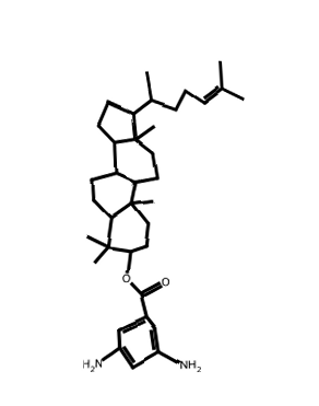 CC(C)=CCCC(C)C1CCC2C3CCC4C(C)(C)C(OC(=O)c5cc(N)cc(N)c5)CCC4(C)C3CCC12C